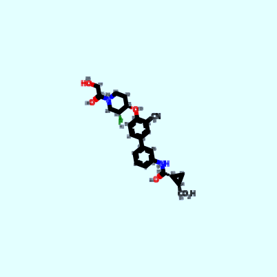 N#Cc1cc(-c2cccc(NC(=O)[C@@H]3C[C@H]3C(=O)O)c2)ccc1O[C@H]1CCN(C(=O)CO)C[C@H]1F